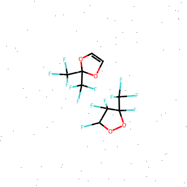 FC(F)(F)C1(C(F)(F)F)OC=CO1.FC1OOC(F)(C(F)(F)F)C1(F)F